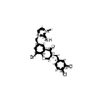 Cn1ccn(Cc2cc(Br)c3c(c2)C(=O)[C@@H](Cc2ccc(Cl)c(Cl)c2)CO3)c1=N